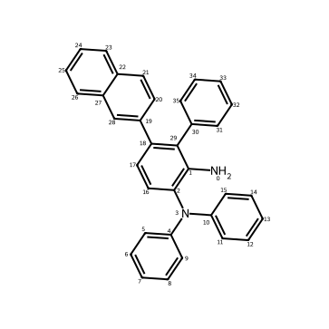 Nc1c(N(c2ccccc2)c2ccccc2)ccc(-c2ccc3ccccc3c2)c1-c1ccccc1